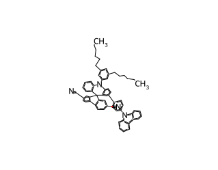 CCCCCCc1cc(CCCCCC)cc(N2c3ccccc3C3(c4cc(C#N)ccc4-c4ccc(C#N)cc43)c3cc(-c4ccc(-n5c6ccccc6c6ccccc65)cc4)ccc32)c1